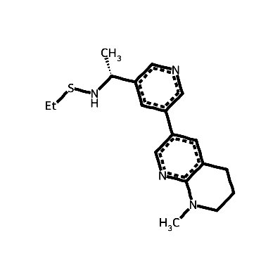 CCSN[C@H](C)c1cncc(-c2cnc3c(c2)CCCN3C)c1